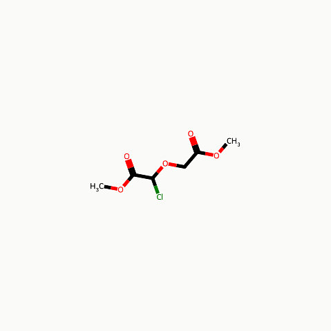 COC(=O)COC(Cl)C(=O)OC